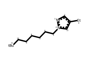 CCc1cnn(CCCCCCC(C)(C)C)c1